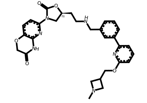 CN1CC(COc2cccc(-c3cccc(CNCC[C@H]4CN(c5ccc6c(n5)NC(=O)CO6)C(=O)O4)c3)n2)C1